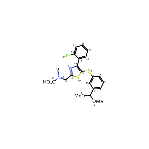 COC(OC)c1cccc(Sc2sc(CN(C)C(=O)O)nc2-c2ccccc2F)c1